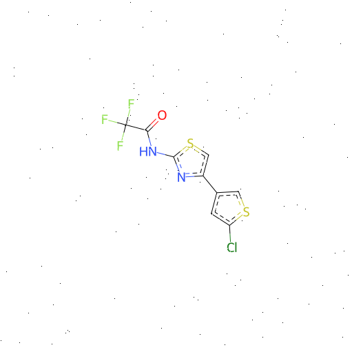 O=C(Nc1nc(-c2csc(Cl)c2)cs1)C(F)(F)F